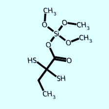 CCC(S)(S)C(=O)O[Si](OC)(OC)OC